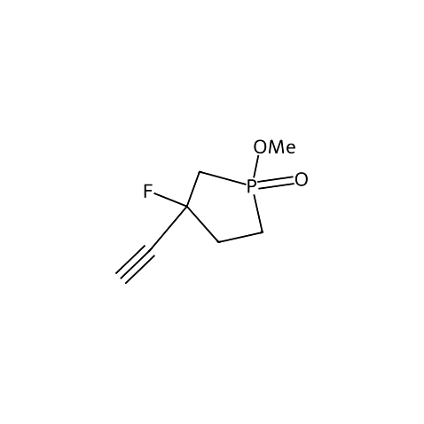 C#CC1(F)CCP(=O)(OC)C1